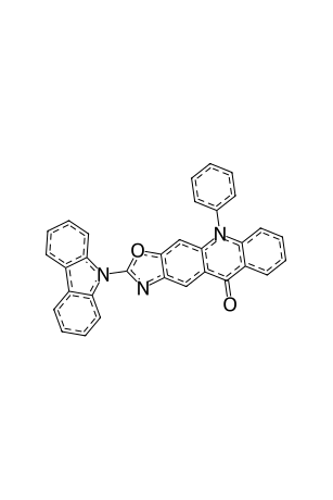 O=c1c2ccccc2n(-c2ccccc2)c2cc3oc(-n4c5ccccc5c5ccccc54)nc3cc12